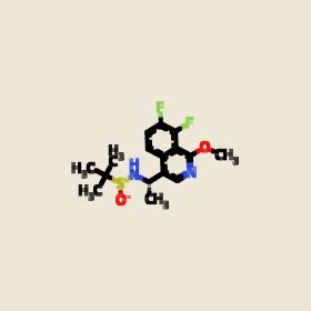 COc1ncc([C@H](C)N[S@@+]([O-])C(C)(C)C)c2ccc(F)c(F)c12